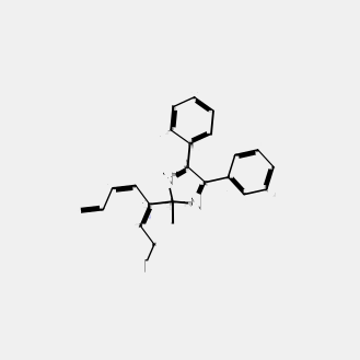 C=C/C=C\C(=C\CI)C1(C)N=C(c2ccccc2)C(c2ccccc2)=N1